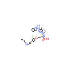 C#CCCCN(C)CC12CC(c3ccc(OCCCc4sc(N5CCCc6c5nnc(NC5=Nc7ccccc7C5)c6C)nc4C(=O)O)c(F)c3)(C1)C2